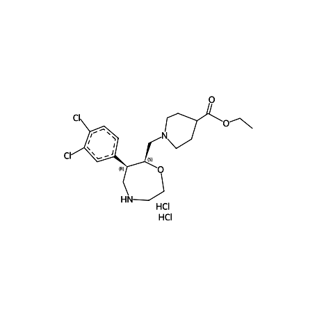 CCOC(=O)C1CCN(C[C@H]2OCCNC[C@H]2c2ccc(Cl)c(Cl)c2)CC1.Cl.Cl